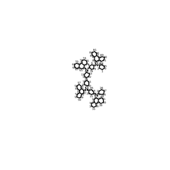 c1ccc(N(c2ccc(N(c3ccc(-c4ccc(N(c5ccc(N(c6ccccc6)c6cc7ccccc7c7ccccc67)cc5)c5cc6ccccc6c6ccccc56)cc4)cc3)c3cc4ccccc4c4ccccc34)cc2)c2cc3ccccc3c3ccccc23)cc1